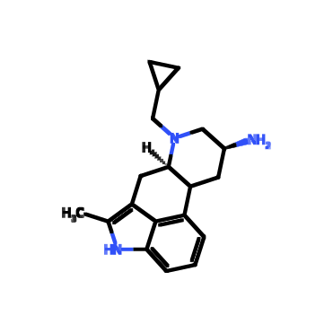 Cc1[nH]c2cccc3c2c1C[C@@H]1C3C[C@H](N)CN1CC1CC1